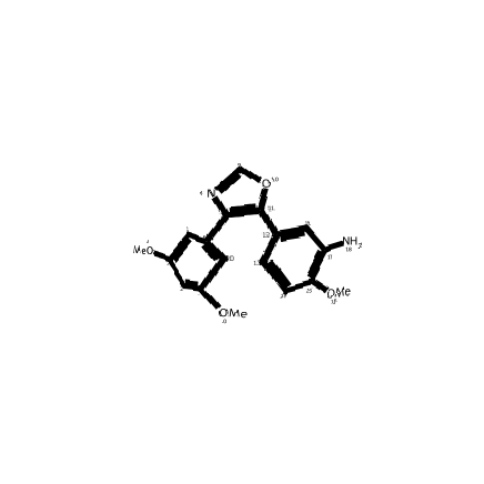 COc1cc(OC)cc(-c2ncoc2-c2ccc(OC)c(N)c2)c1